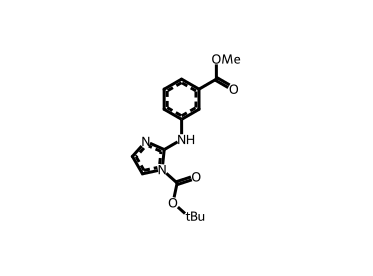 COC(=O)c1cccc(Nc2nccn2C(=O)OC(C)(C)C)c1